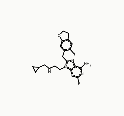 Nc1nc(F)nc2c1nc(Cc1cc3c(cc1I)CCO3)n2CCNCC1CC1